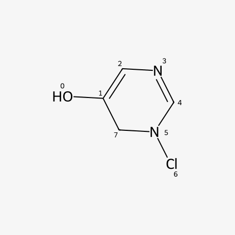 OC1=CN=CN(Cl)C1